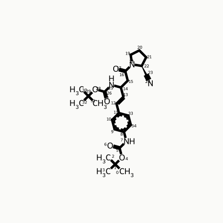 CC(C)(C)OC(=O)Nc1ccc(C=CC(CC(=O)N2CCC[C@H]2C#N)NC(=O)OC(C)(C)C)cc1